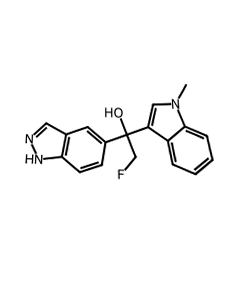 Cn1cc(C(O)(CF)c2ccc3[nH]ncc3c2)c2ccccc21